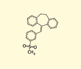 CS(=O)(=O)c1cccc(C=C2c3ccccc3CCc3ccccc32)c1